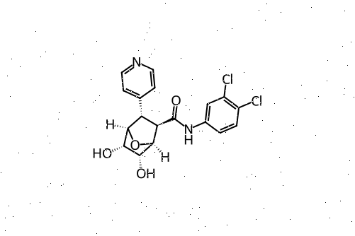 O=C(Nc1ccc(Cl)c(Cl)c1)[C@H]1[C@@H]2O[C@@H]([C@@H](O)[C@H]2O)[C@@H]1c1ccncc1